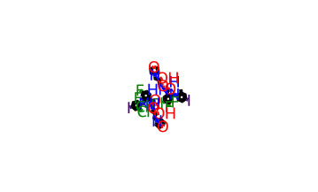 Cc1cc(I)ccc1Nc1c(C(=O)NOCC(O)CN2CCOCC2)cc(Cl)c(F)c1F.O=C(c1ccc(F)c(F)c1Nc1ccc(I)cc1Cl)N(Cl)OCC(O)CN1CCOCC1